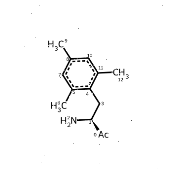 CC(=O)[C@@H](N)Cc1c(C)cc(C)cc1C